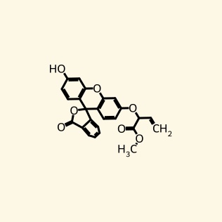 C=CC(Oc1ccc2c(c1)Oc1cc(O)ccc1C21OC(=O)c2ccccc21)C(=O)OC